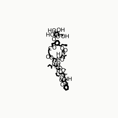 C#CCC1OC(=O)N(C)[C@@H](C(C)C)C(=O)N[C@H](C(=O)N(C)[C@@H](C(C)CC)[C@@H](CC(=O)N2CCC[C@H]2[C@H](OC)[C@@H](C)C(=O)NC(Cc2ccccc2)C(=O)O)OC)C(C)OC(=O)CCCc2cc3c(O[C@@H]4O[C@H](CO)[C@H](O)[C@H](O)[C@H]4O)ccc1c3o2